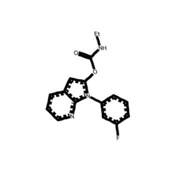 CCNC(=O)Oc1cc2cccnc2n1-c1cccc(F)c1